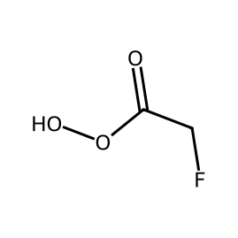 O=C(CF)OO